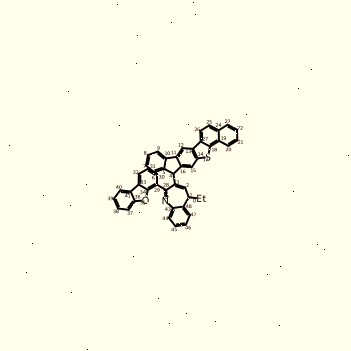 CCC1C=C(C2c3ccccc3-c3cc4c(cc32)sc2c3ccccc3ccc42)C(c2cccc3c2oc2ccccc23)=Nc2ccccc21